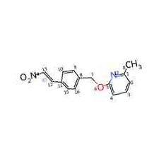 Cc1cccc(OCc2ccc(/C=C/[N+](=O)[O-])cc2)n1